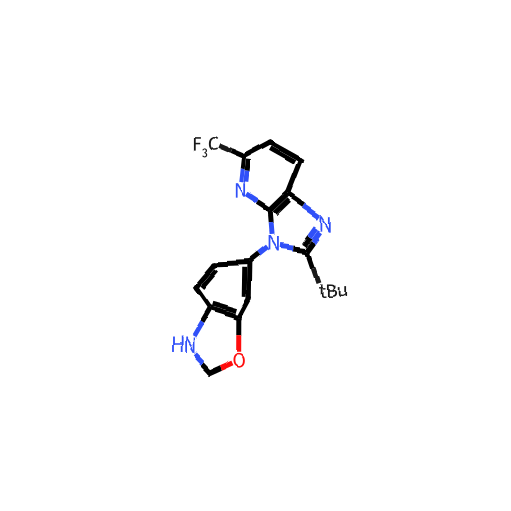 CC(C)(C)c1nc2ccc(C(F)(F)F)nc2n1-c1ccc2c(c1)OCN2